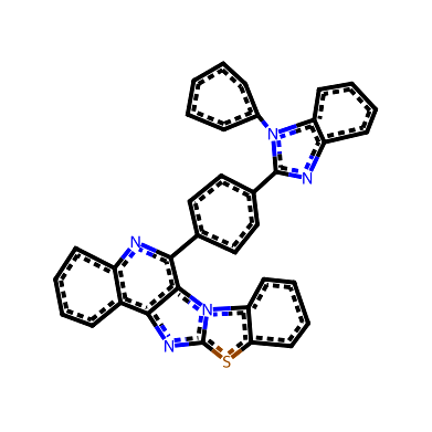 c1ccc(-n2c(-c3ccc(-c4nc5ccccc5c5nc6sc7ccccc7n6c45)cc3)nc3ccccc32)cc1